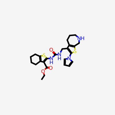 CCOC(=O)c1c(NC(=O)NCc2c(-n3cccc3)sc3c2CCCNC3)sc2c1CCCC2